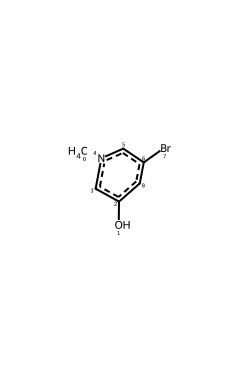 C.Oc1cncc(Br)c1